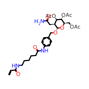 C=CC(=O)NCCCCCC(=O)Nc1ccc(CO[C@H]2O[C@H](COC(C)=O)[C@@H](OC(C)=O)[C@H](OC(C)=O)[C@@H]2CC(N)=O)cc1